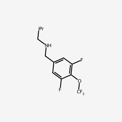 CC(C)CNCc1cc(F)c(OC(F)(F)F)c(F)c1